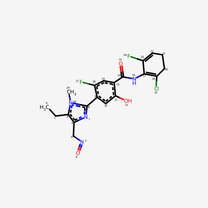 CCc1c(CN=O)nc(-c2cc(O)c(C(=O)NC3=C(Cl)CCC=C3F)cc2F)n1C